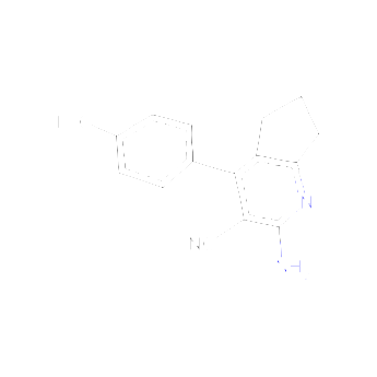 Cc1ccc(-c2c(C#N)c(N)nc3c2CCC3)cc1